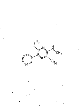 CCc1nc(NC)c(C#N)cc1-c1cccnc1